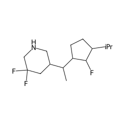 CC(C)C1CCC(C(C)C2CNCC(F)(F)C2)C1F